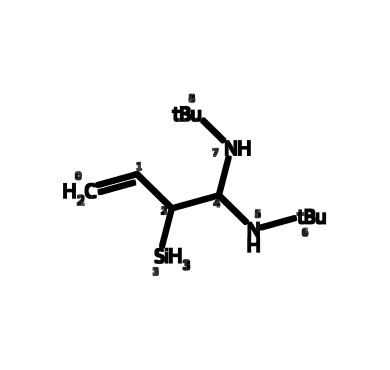 C=CC([SiH3])C(NC(C)(C)C)NC(C)(C)C